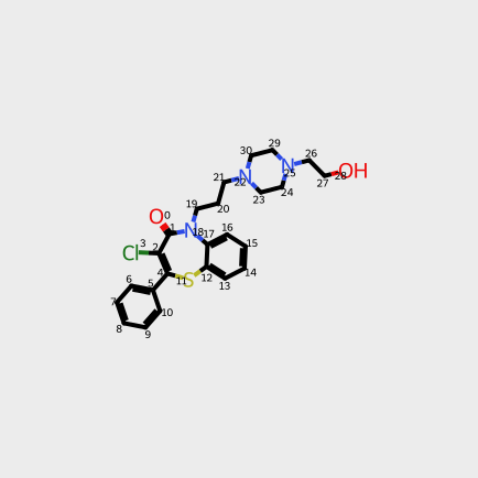 O=C1C(Cl)=C(c2ccccc2)Sc2ccccc2N1CCCN1CCN(CCO)CC1